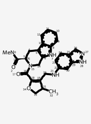 CNC(=O)[C@H]1Cc2c([nH]c3ccccc23)CN1C(=O)C1=C(CNc2ccc3cn[nH]c3c2)C(C)CO1